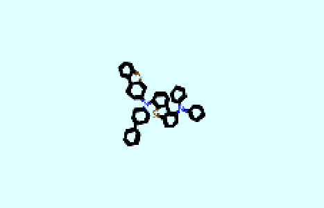 c1ccc(-c2ccc(N(c3ccc4c(c3)sc3ccccc34)c3cccc4c3sc3cccc(N(c5ccccc5)c5ccccc5)c34)cc2)cc1